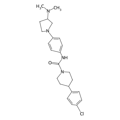 CN(C)C1CCN(c2ccc(NC(=O)N3CCC(c4ccc(Cl)cc4)CC3)cc2)C1